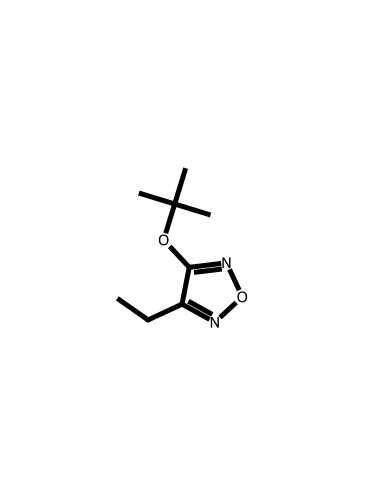 CCc1nonc1OC(C)(C)C